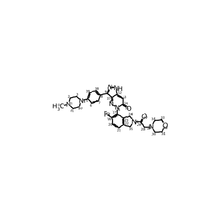 CN1CCN(c2ccc(-c3n[nH]c4cc(=O)n(-c5c(F)ccc6c5CN(C(=O)CN5CCOCC5)C6)nc34)cc2)CC1